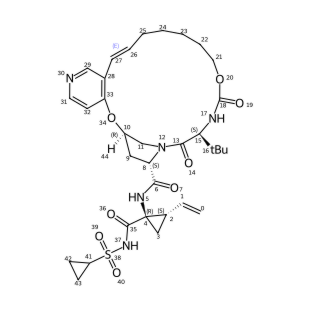 C=C[C@@H]1C[C@]1(NC(=O)[C@@H]1C[C@@H]2CN1C(=O)[C@H](C(C)(C)C)NC(=O)OCCCCC/C=C/c1cnccc1O2)C(=O)NS(=O)(=O)C1CC1